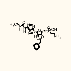 CCNC(=O)Nc1ncnc2c1ncn2[C@@H]1O[C@H](COP(=O)(O)CCN)C2OC(Cc3ccccc3)O[C@@H]21